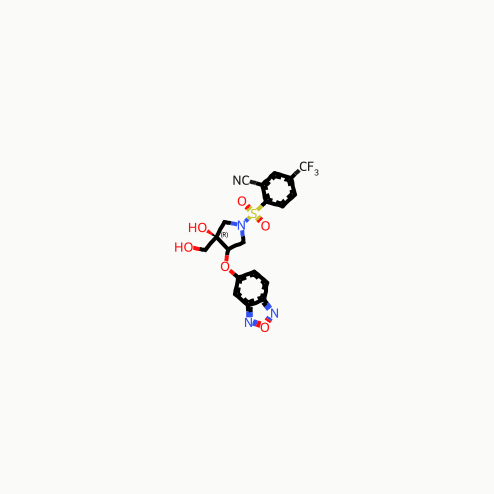 N#Cc1cc(C(F)(F)F)ccc1S(=O)(=O)N1CC(Oc2ccc3nonc3c2)[C@](O)(CO)C1